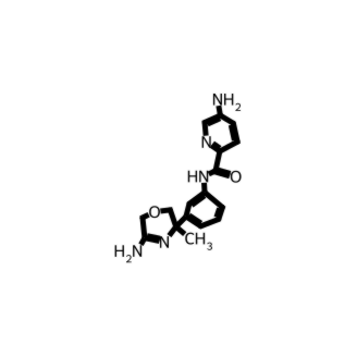 CC1(c2cccc(NC(=O)c3ccc(N)cn3)c2)COCC(N)=N1